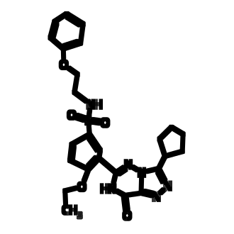 CCOc1ccc(S(=O)(=O)NCCOc2ccccc2)cc1-c1nn2c(C3CCCC3)nnc2c(=O)[nH]1